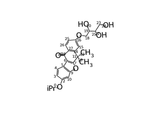 CC(C)Oc1ccc2c3c(oc2c1)C(C)(C)c1cc(OCC(O)C(O)CO)ccc1C3=O